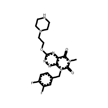 Cn1c(=O)c2nc(OCCN3CCNCC3)nnc2n(Cc2ccc(F)c(F)c2)c1=O